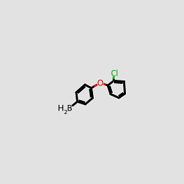 Bc1ccc(Oc2ccccc2Cl)cc1